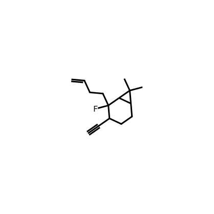 C#CC1CCC2C(C2(C)C)C1(F)CCC=C